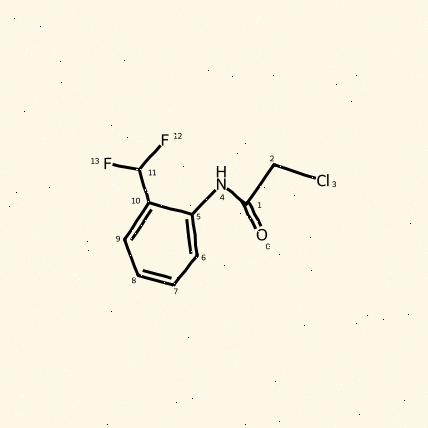 O=C(CCl)Nc1ccccc1C(F)F